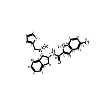 CC(=O)N(Cc1cccs1)[C@H]1c2ccccc2C[C@@H]1NC(=O)c1cc2cc(Cl)ccc2[nH]1